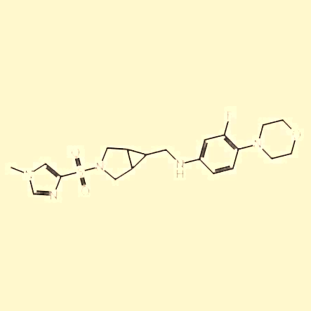 Cn1cnc(S(=O)(=O)N2CC3C(CNc4ccc(N5CCOCC5)c(F)c4)C3C2)c1